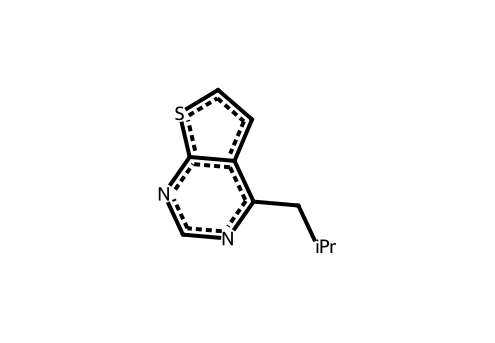 CC(C)Cc1ncnc2sccc12